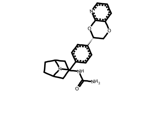 NC(=O)NC1CC2CCC(C1)N2Cc1ccc([C@H]2COc3cccnc3O2)cc1